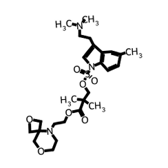 Cc1ccc2c(c1)c(CCN(C)C)cn2S(=O)(=O)OCC(C)(C)C(=O)OCCN1CCOCC12COC2